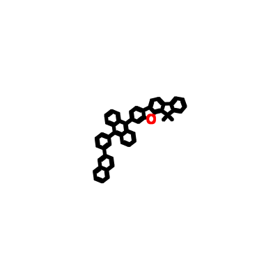 CC1(C)c2ccccc2-c2ccc3c(oc4cc(-c5c6ccccc6c(-c6cccc(-c7ccc8ccccc8c7)c6)c6ccccc56)ccc43)c21